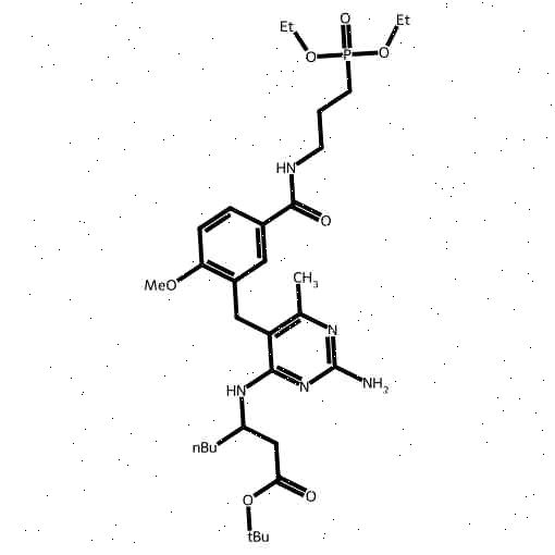 CCCCC(CC(=O)OC(C)(C)C)Nc1nc(N)nc(C)c1Cc1cc(C(=O)NCCCP(=O)(OCC)OCC)ccc1OC